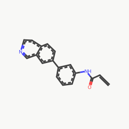 C=CC(=O)Nc1cccc(-c2ccc3ccncc3c2)c1